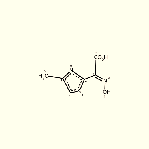 Cc1csc(/C(=N\O)C(=O)O)n1